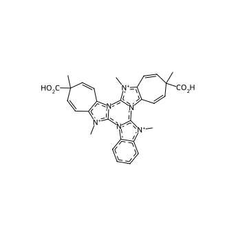 C[n+]1c2c(n3c1n1c4c([n+](C)c1n1c5ccccc5[n+](C)c31)C=CC(C)(C(=O)O)C=C4)C=CC(C)(C(=O)O)C=C2